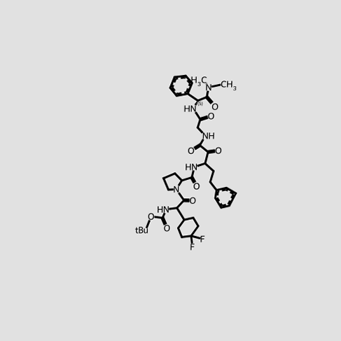 CN(C)C(=O)[C@@H](NC(=O)CNC(=O)C(=O)C(CCc1ccccc1)NC(=O)C1CCCN1C(=O)C(NC(=O)OC(C)(C)C)C1CCC(F)(F)CC1)c1ccccc1